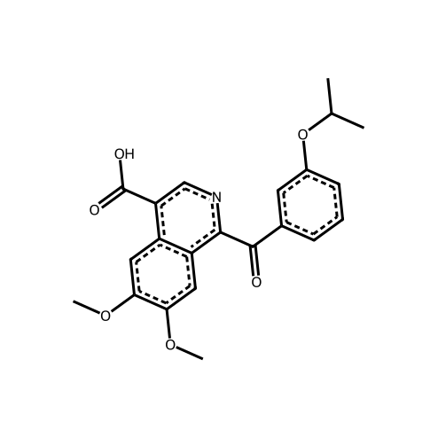 COc1cc2c(C(=O)O)cnc(C(=O)c3cccc(OC(C)C)c3)c2cc1OC